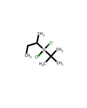 CCC(C)[Si](Cl)(Cl)C(C)(C)C